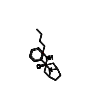 CCCCCNC(=O)N1C2CCC1CC(c1ccccc1)C2